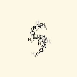 CCc1ccc(-c2cn([C@@H](C)CNC(C)(C)CCC(C)(C)CN3CCC(O[C@H]4C[C@@H](NC(C)(C)C)C4)CC3)cn2)cc1